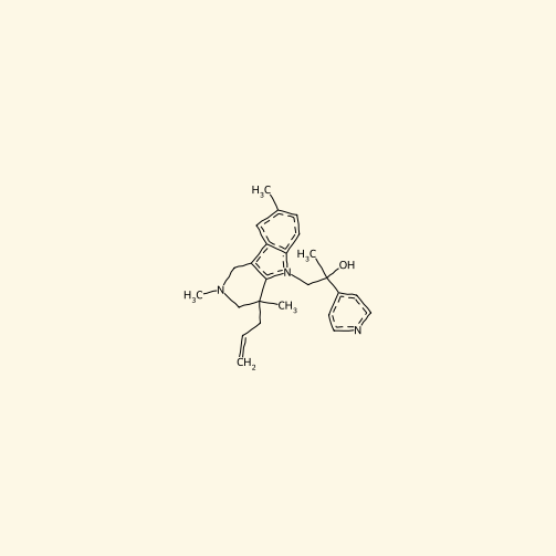 C=CCC1(C)CN(C)Cc2c1n(CC(C)(O)c1ccncc1)c1ccc(C)cc21